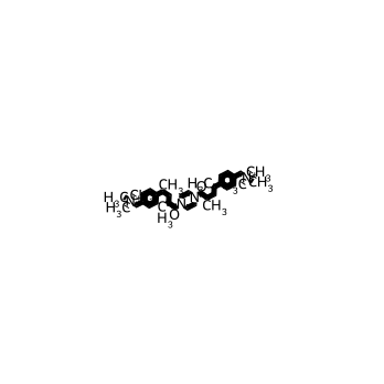 CC(CC(C)c1ccc(C[N+](C)(C)C)cc1)C(=O)N1CCN(C(=O)C(C)CC(C)c2ccc(C[N+](C)(C)C)cc2)CC1